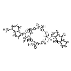 Nc1ncnc2c1ncn2[C@@H]1O[C@@H]2CO[P@](=O)(S)OC[C@@H]3[C@@H](CO[P@](=O)(S)O[C@H]2[C@H]1F)C[C@H]3n1cnc2c(=O)n3cnnc3[nH]c21